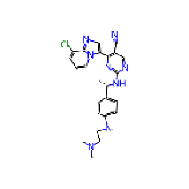 C[C@H](Nc1ncc(C#N)c(-c2cnc3c(Cl)cccn23)n1)c1ccc(N(C)CCN(C)C)cc1